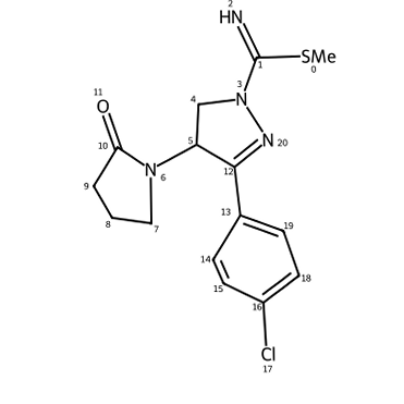 CSC(=N)N1CC(N2CCCC2=O)C(c2ccc(Cl)cc2)=N1